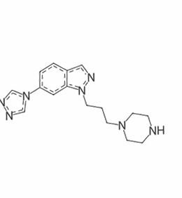 c1cc2cnn(CCCN3CCNCC3)c2cc1-n1cnnc1